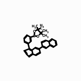 CC1(C)OB(c2cccc(-c3cccc4ccc(-c5ccc6ccccc6c5)cc34)c2)OC1(C)C